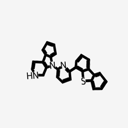 C1=Cc2c(n(-c3cccc(-c4cccc5c4sc4ccccc45)n3)c3ccccc23)CN1